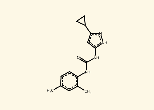 Cc1ccc(NC(=O)Nc2cc(C3CC3)n[nH]2)c(C)c1